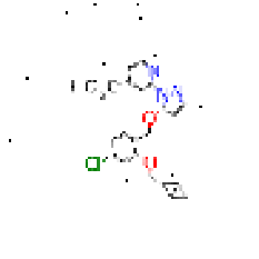 O=C(O)c1ccnc(-n2nccc2OCc2ccc(Cl)cc2OCC2C3CC23)c1